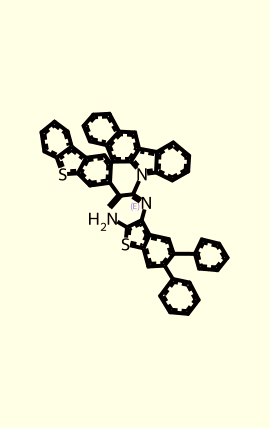 C=C(/C(=N\c1c(N)sc2cc(-c3ccccc3)c(-c3ccccc3)cc12)n1c2ccccc2c2cc3ccccc3cc21)c1ccc2c(c1)sc1ccccc12